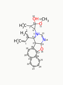 C=CC(=C)C1=[N+](C2C(C)C2(O)OC)C=NC2Oc3c(ccc4ccccc34)C12